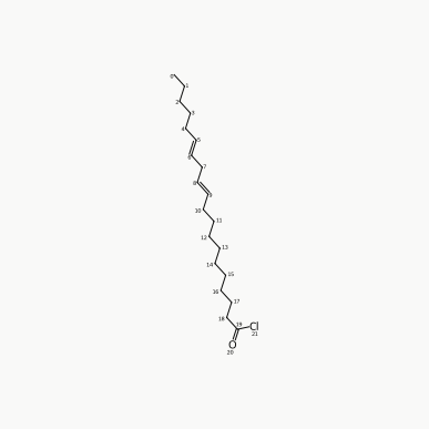 CCCCCC=CCC=CCCCCCCCCCC(=O)Cl